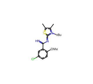 CCCCn1c(C)c(C)s/c1=N\C(=N)c1cc(Cl)ccc1OC